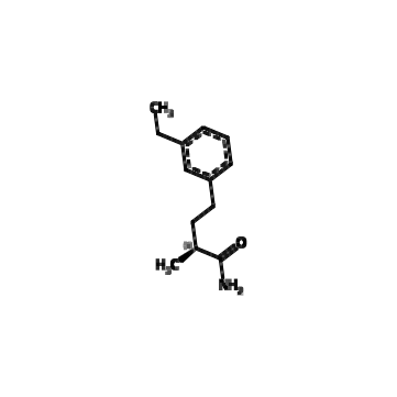 CCc1cccc(CC[C@H](C)C(N)=O)c1